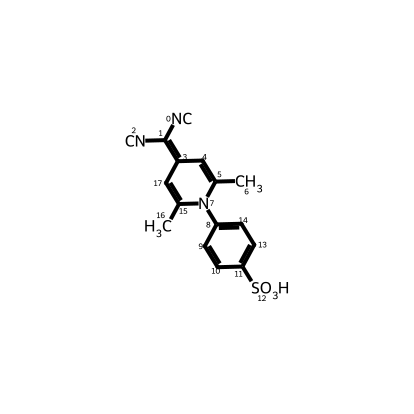 [C-]#[N+]C([N+]#[C-])=C1C=C(C)N(c2ccc(S(=O)(=O)O)cc2)C(C)=C1